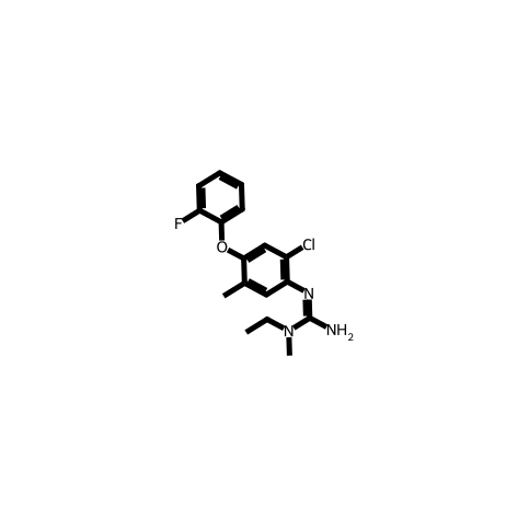 CCN(C)C(N)=Nc1cc(C)c(Oc2ccccc2F)cc1Cl